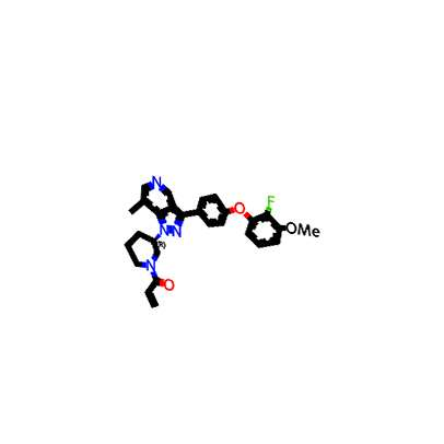 C=CC(=O)N1CCC[C@@H](n2nc(-c3ccc(Oc4cccc(OC)c4F)cc3)c3cncc(C)c32)C1